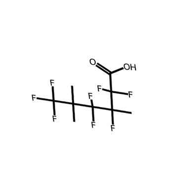 CC(C)(C(F)(F)F)C(F)(F)C(C)(F)C(F)(F)C(=O)O